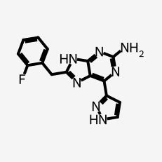 Nc1nc(-c2cc[nH]n2)c2nc(Cc3ccccc3F)[nH]c2n1